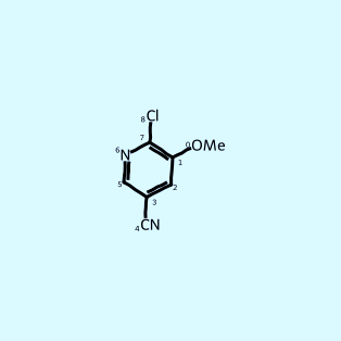 COc1cc(C#N)cnc1Cl